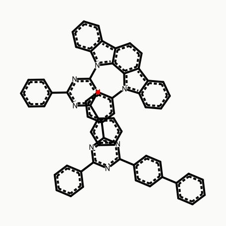 c1ccc(-c2ccc(-c3nc(-c4ccccc4)nc(-c4cccc(-n5c6ccccc6c6ccc7c8ccccc8n(-c8nc(-c9ccccc9)nc(-c9ccccc9)n8)c7c65)c4)n3)cc2)cc1